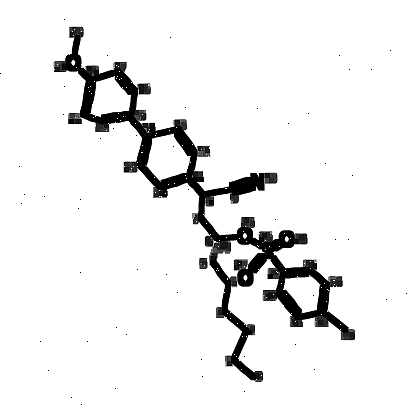 CCCCCC[C@H](CC(C#N)c1ccc(-c2ccc(OC)cc2)cc1)OS(=O)(=O)c1ccc(C)cc1